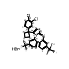 Br.FC(F)(F)c1cccc(/N=c2/scc(C3(c4ccc(Cl)c(Cl)c4)CCC3)n2-c2cccc(C(F)(F)F)c2)c1